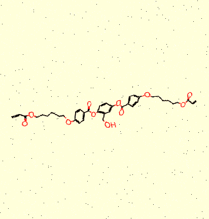 C=CC(=O)OCCCCCCOc1ccc(C(=O)Oc2ccc(OC(=O)c3ccc(OCCCCCCOC(=O)C=C)cc3)c(CO)c2)cc1